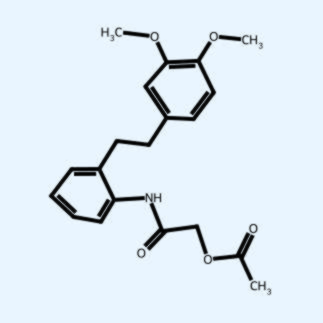 COc1ccc(CCc2ccccc2NC(=O)COC(C)=O)cc1OC